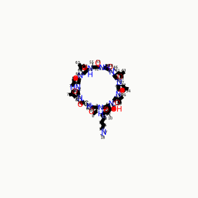 CC[C@@H]1NC(=O)[C@H]([C@H](O)[C@H](C)C/C=C/CC/C=N/C)N(C)C(=O)[C@H](C(C)C)N(C)C(=O)[C@H](CC(C)C)N(C)C(=O)[C@H](CC(C)C)N(C)C(=O)[C@H](C)NC(=O)[C@@H](C)NC(=O)[C@@H](CC(C)C)N(C)C(=O)[C@@H](C(C)C)NC(=O)[C@H](CC(C)C)N(C)C(=O)CN(C)C1=O